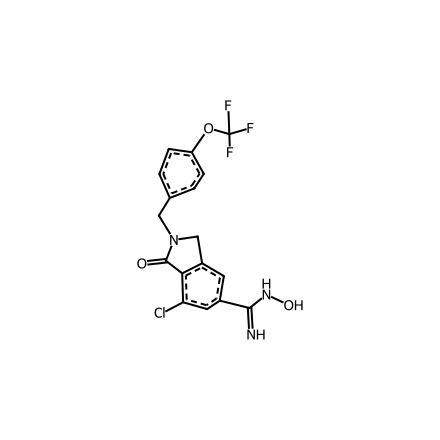 N=C(NO)c1cc(Cl)c2c(c1)CN(Cc1ccc(OC(F)(F)F)cc1)C2=O